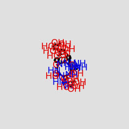 CC1C(=O)NC(Cc2ccc(OC3OC(CO)C(OC4OC(CO)C(O)C(O)C4O)C(O)C3O)cc2)C(=O)NC(C(O)C2CNC(=N)N2)C(=O)NC(C(O)C2CNC(=N)N2C2OC(CO)C(O)C(O)C2O)C(=O)NC(CO)C(=O)NCC(=O)N1c1ccccc1